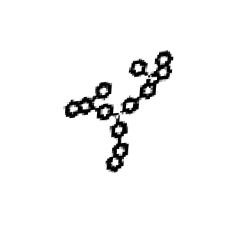 c1ccc(-c2cc3ccccc3cc2-c2ccc(N(c3ccc(-c4ccc5ccccc5c4)cc3)c3ccc(-c4ccc5c6ccc7ccccc7c6n(-c6ccccc6)c5c4)cc3)cc2)cc1